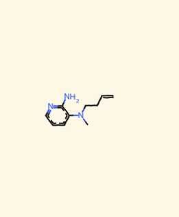 C=CCCN(C)c1cccnc1N